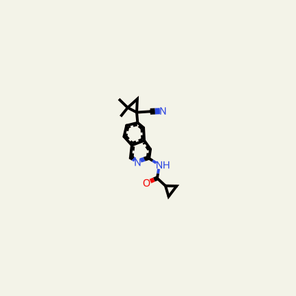 CC1(C)CC1(C#N)c1ccc2cnc(NC(=O)C3CC3)cc2c1